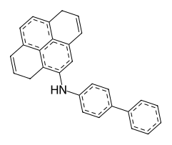 C1=Cc2cc(Nc3ccc(-c4ccccc4)cc3)c3c4c(ccc(c24)C1)C=CC3